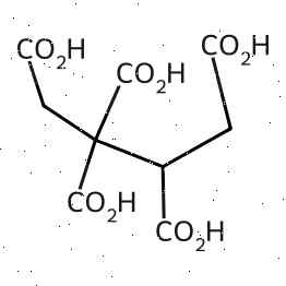 O=C(O)CC(C(=O)O)C(CC(=O)O)(C(=O)O)C(=O)O